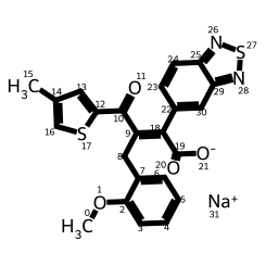 COc1ccccc1CC(C(=O)c1cc(C)cs1)=C(C(=O)[O-])c1ccc2nsnc2c1.[Na+]